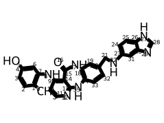 Cc1ccc(O)cc1Nc1ccnc2c1C(=O)Nc1cc(CNc3ccc4[nH]cnc4c3)ccc1N2